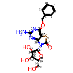 Nc1nc(OCc2ccccc2)c2sc(=O)n([C@@H]3O[C@H](CO)[C@@H](O)[C@H]3O)c2n1